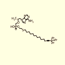 CC(C)S(C#CCCCCCCCCCCCCSCCOP(=O)(O)CO[C@H](C)Cn1cnc2c(N)ncnc21)(C(C)C)C(C)C